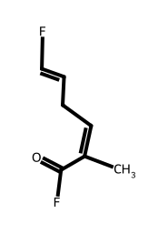 CC(=CCC=CF)C(=O)F